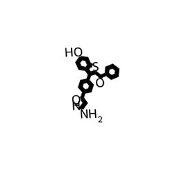 Nc1cc(-c2ccc(-c3c(C(=O)c4ccccc4)sc4cc(O)ccc34)cc2)on1